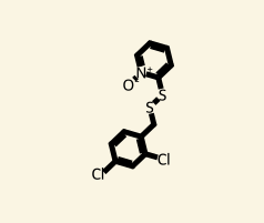 [O-][n+]1ccccc1SSCc1ccc(Cl)cc1Cl